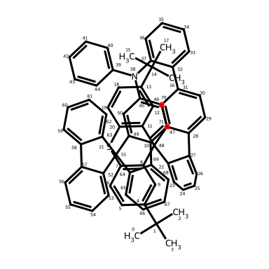 CC(C)(C)c1ccc2c(c1)C1(c3cc(C(C)(C)C)ccc3S2)c2ccccc2-c2ccc(-c3ccccc3N(c3ccccc3)c3ccc4c(c3)C3(c5ccccc5-c5ccccc53)c3ccccc3-4)cc21